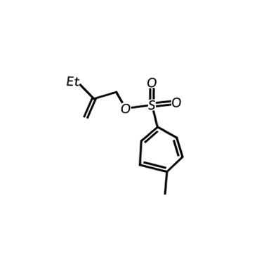 C=C(CC)COS(=O)(=O)c1ccc(C)cc1